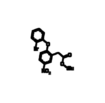 CC(C)(C)OC(=O)Cc1cc([N+](=O)[O-])ccc1Oc1ccccc1Br